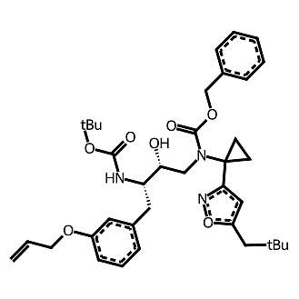 C=CCOc1cccc(C[C@H](NC(=O)OC(C)(C)C)[C@H](O)CN(C(=O)OCc2ccccc2)C2(c3cc(CC(C)(C)C)on3)CC2)c1